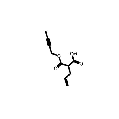 C=CCC(C(=O)O)C(=O)OCC#CC